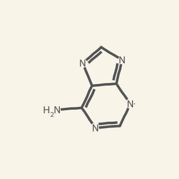 NC1=C2N=CN=C2[N]C=N1